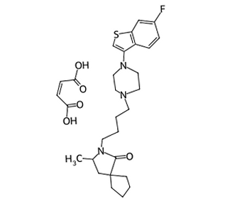 CC1CC2(CCCC2)C(=O)N1CCCCN1CCN(c2csc3cc(F)ccc23)CC1.O=C(O)/C=C\C(=O)O